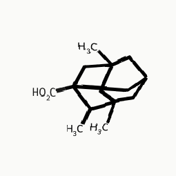 CC1C2(C)CC3CC(C)(C2)CC1(C(=O)O)C3